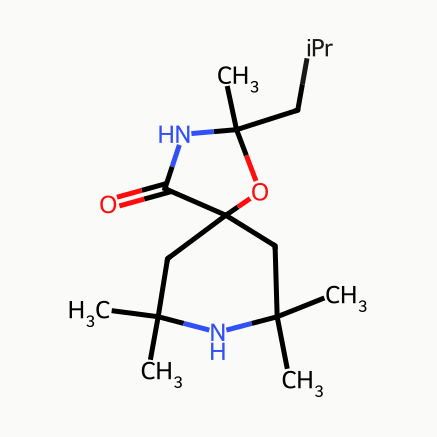 CC(C)CC1(C)NC(=O)C2(CC(C)(C)NC(C)(C)C2)O1